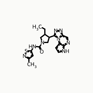 CCC1CN(C(=O)Nc2cc(C)ns2)CC1c1nnc2cnc3[nH]ccc3n12